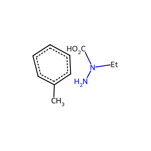 CCN(N)C(=O)O.Cc1ccccc1